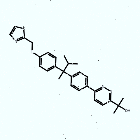 CC(C)C(C)(c1ccc(OCc2nccs2)cc1)c1ccc(-c2ccc(C(C)(C)O)nn2)cc1